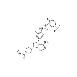 Nc1ncnn2c(C3CCN(C(=O)C4CC4)CC3)cc(-c3ccc(NC(=O)Nc4cc(C(F)(F)F)ccc4F)c(I)c3)c12